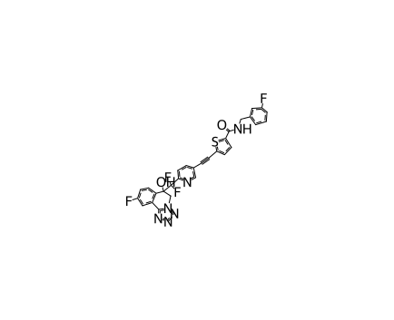 O=C(NCc1cccc(F)c1)c1ccc(C#Cc2ccc(C(F)(F)C3(O)Cn4nnnc4-c4cc(F)ccc43)nc2)s1